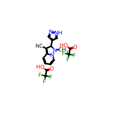 CN1C(c2cn[nH]c2)C(C#N)=C2C=CC=CN21.O=C(O)C(F)(F)F.O=C(O)C(F)(F)F